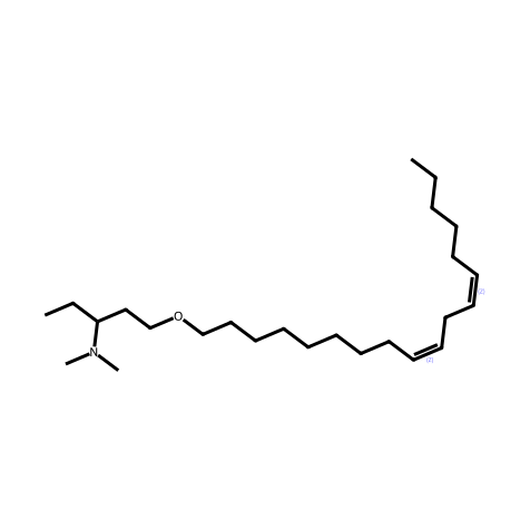 CCCCC/C=C\C/C=C\CCCCCCCCOCCC(CC)N(C)C